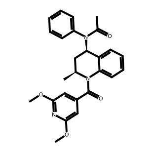 COc1cc(C(=O)N2c3ccccc3[C@H](N(C(C)=O)c3ccccc3)C[C@@H]2C)cc(OC)n1